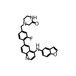 O=C1CN(Cc2ccc(-c3ccc4nccc(Nc5ccc6occc6c5)c4c3)c(F)c2)CCN1